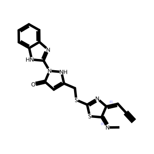 C#C/C=C1/N=C(SCc2cc(=O)n(-c3nc4ccccc4[nH]3)[nH]2)S/C1=N/C